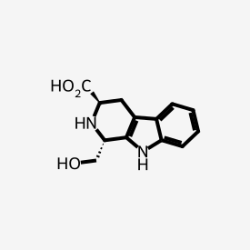 O=C(O)[C@H]1Cc2c([nH]c3ccccc23)[C@H](CO)N1